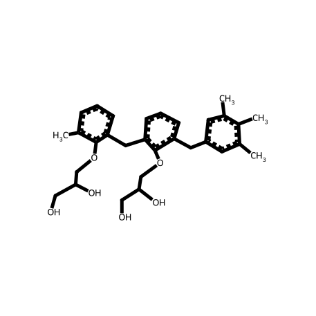 Cc1cc(Cc2cccc(Cc3cccc(C)c3OCC(O)CO)c2OCC(O)CO)cc(C)c1C